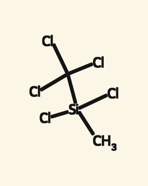 C[Si](Cl)(Cl)C(Cl)(Cl)Cl